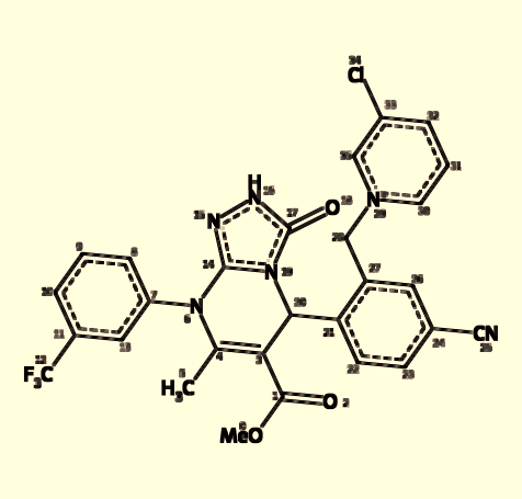 COC(=O)C1=C(C)N(c2cccc(C(F)(F)F)c2)c2n[nH]c(=O)n2C1c1ccc(C#N)cc1C[n+]1cccc(Cl)c1